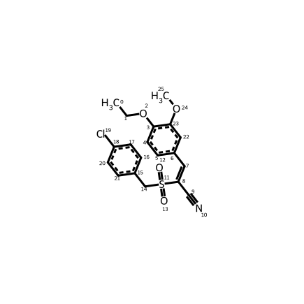 CCOc1ccc(C=C(C#N)S(=O)(=O)Cc2ccc(Cl)cc2)cc1OC